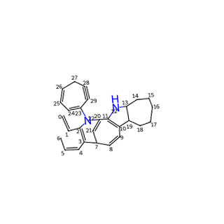 C=CC1=C(/C=C\C)C2C=CC3=C(NC4CCCCCC34)C(=C2)N1C1=CC=CCC#C1